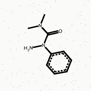 CN(C)C(=O)N(N)c1ccccc1